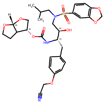 CC(C)CN(C[C@@H](O)[C@H](Cc1ccc(OCC#N)cc1)NC(=O)O[C@H]1CO[C@H]2OCCC21)S(=O)(=O)c1ccc2c(c1)OCO2